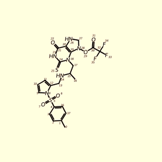 Cc1ccc(S(=O)(=O)n2cccc2CNC(C)Cn2c3c(c(=O)[nH]c2=S)NCN3OC(=O)C(F)(F)F)cc1